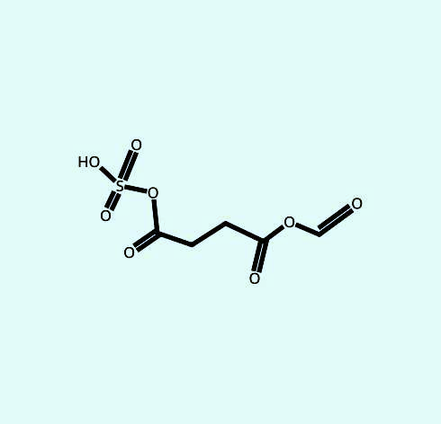 O=COC(=O)CCC(=O)OS(=O)(=O)O